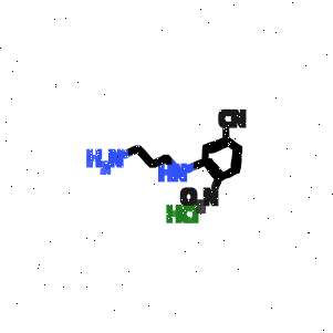 Cl.N#Cc1ccc([N+](=O)[O-])c(NCCCN)c1